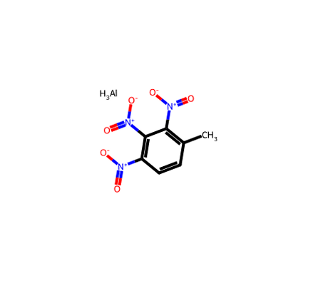 Cc1ccc([N+](=O)[O-])c([N+](=O)[O-])c1[N+](=O)[O-].[AlH3]